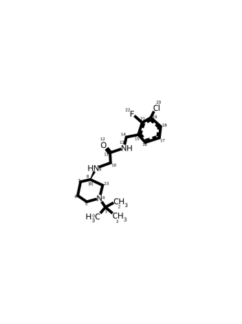 CC(C)(C)N1CCC[C@@H](NCC(=O)NCc2cccc(Cl)c2F)C1